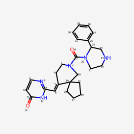 O=C(N1CCC(=Cc2nccc(=O)[nH]2)C2(CCCC2)C1)N1CCNCC1c1ccccc1